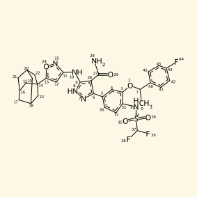 CC(Oc1cc(-c2n[nH]c(Nc3cc(C45CC6CC(CC(C6)C4)C5)on3)c2C(N)=O)ccc1NS(=O)(=O)C(F)F)c1ccc(F)cc1